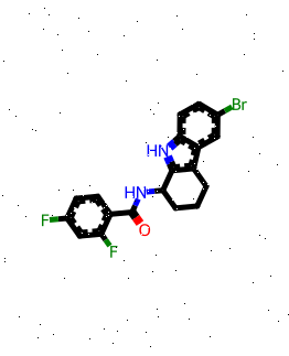 O=C(NC1CCCc2c1[nH]c1ccc(Br)cc21)c1ccc(F)cc1F